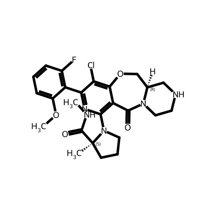 CNC(=O)[C@]1(C)CCCN1c1nc(-c2c(F)cccc2OC)c(Cl)c2c1C(=O)N1CCNC[C@@H]1CO2